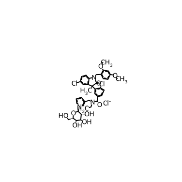 CCN(Cc1ccc[n+](C2O[C@H](CO)[C@H](O)[C@H](O)[C@H]2O)c1)C(=O)c1ccc(Cl)c(C2(C)C(=O)N(Cc3ccc(OC)cc3OC)c3ccc(Cl)cc32)c1.[Cl-]